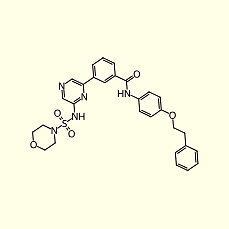 O=C(Nc1ccc(OCCc2ccccc2)cc1)c1cccc(-c2cncc(NS(=O)(=O)N3CCOCC3)n2)c1